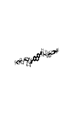 CC(C)[C@H](NC(=O)[C@@]1(C)CCC(F)(F)CO1)c1nc(-c2ccc3c(c2)CCc2cc(-c4c[nH]c([C@@H](NC(=O)[C@@]5(C)CCC(F)(F)CO5)C(C)C)n4)ccc2-3)c[nH]1